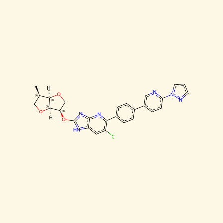 C[C@@H]1CO[C@H]2[C@@H]1OC[C@H]2Oc1nc2nc(-c3ccc(-c4ccc(-n5cccn5)nc4)cc3)c(Cl)cc2[nH]1